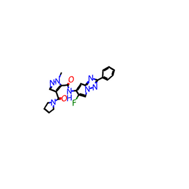 Cn1ncc(C(=O)N2CCCC2)c1C(=O)Nc1cc2nc(-c3ccccc3)nn2cc1F